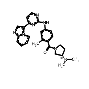 Cc1cc(Nc2nccc(-c3cnc4ccccn34)n2)ccc1C(=O)N1CC[C@H](N(C)C)C1